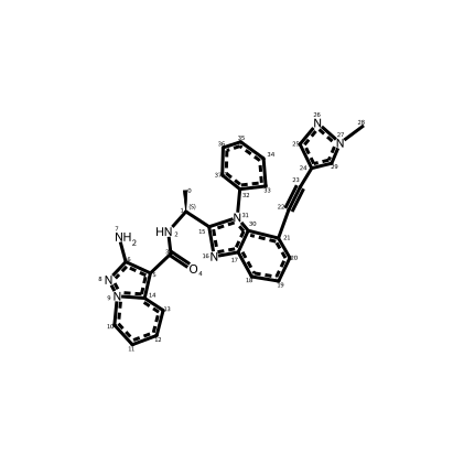 C[C@H](NC(=O)c1c(N)nn2ccccc12)c1nc2cccc(C#Cc3cnn(C)c3)c2n1-c1ccccc1